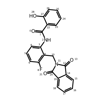 O=C(Nc1cccc(F)c1CN1C(=O)c2ccccc2C1=O)c1ccccc1O